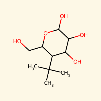 CC(C)(C)C1C(CO)OC(O)C(O)C1O